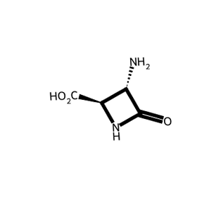 N[C@@H]1C(=O)N[C@H]1C(=O)O